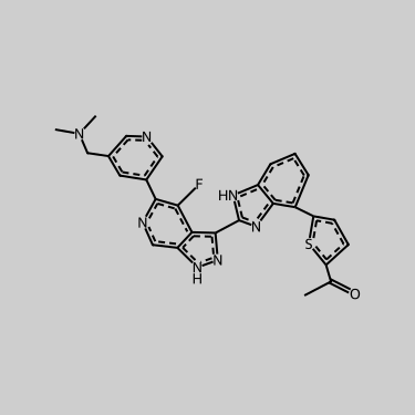 CC(=O)c1ccc(-c2cccc3[nH]c(-c4n[nH]c5cnc(-c6cncc(CN(C)C)c6)c(F)c45)nc23)s1